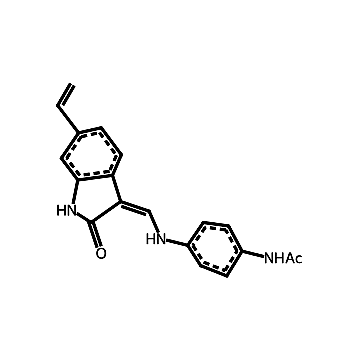 C=Cc1ccc2c(c1)NC(=O)/C2=C\Nc1ccc(NC(C)=O)cc1